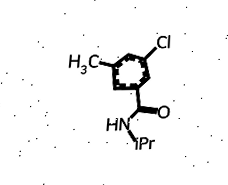 Cc1cc(Cl)cc(C(=O)NC(C)C)c1